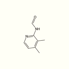 Cc1ccnc(NC=O)c1C